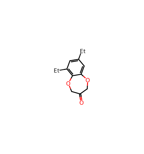 CCc1cc(CC)c2c(c1)OCC(=O)CO2